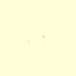 CC(=O)C1C2CC1CN(C(=O)C1CCN(C)CC1)C2